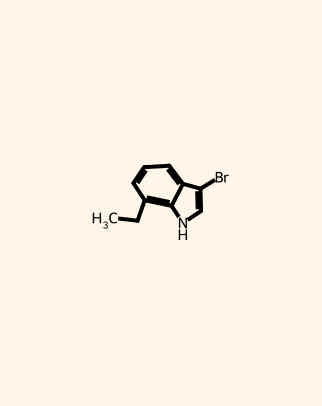 CCc1cccc2c(Br)c[nH]c12